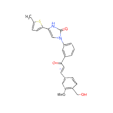 COc1cc(/C=C/C(=O)c2cccc(-n3cc(-c4ccc(C)s4)[nH]c3=O)c2)ccc1CO